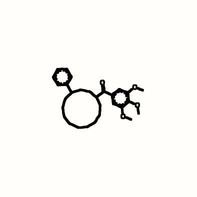 COc1cc(C(=O)C2CCCCCCCCCC(c3ccccc3)CC2)cc(OC)c1OC